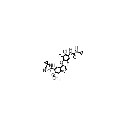 COc1cc2nccc(Oc3c(F)cc(NC(=O)NC4CC4)c(Cl)c3F)c2cc1C(=O)NC1(C#N)CC1